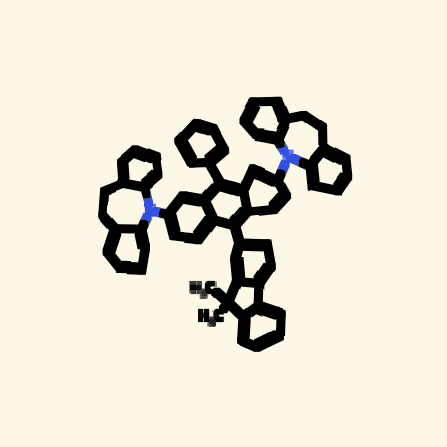 CC1(C)c2ccccc2-c2ccc(-c3c4ccc(N5c6ccccc6CCc6ccccc65)cc4c(-c4ccccc4)c4cc(N5c6ccccc6CCc6ccccc65)ccc34)cc21